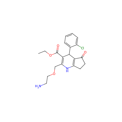 CCOC(=O)C1=C(COCCN)NC2=C(C(=O)CC2)C1c1ccccc1Cl